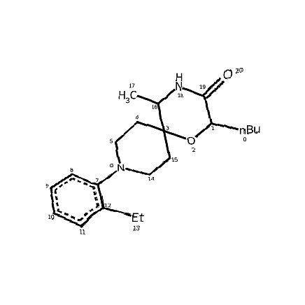 CCCCC1OC2(CCN(c3ccccc3CC)CC2)C(C)NC1=O